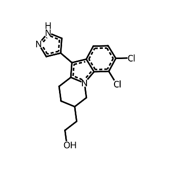 OCCC1CCc2c(-c3cn[nH]c3)c3ccc(Cl)c(Cl)c3n2C1